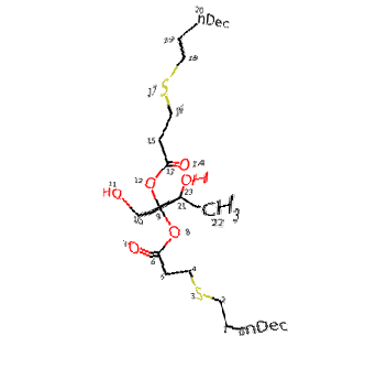 CCCCCCCCCCCCSCCC(=O)OC(CO)(OC(=O)CCSCCCCCCCCCCCC)C(C)O